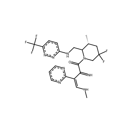 CN/C=C(\C(=N)C(=O)N1CC(F)(F)C[C@@H](C)C1CNc1ccc(C(F)(F)F)nn1)c1ncccn1